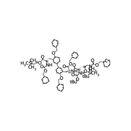 CC(C)(C)OC(=O)N[C@@H](C[C@H](CNC(=O)OCc1ccccc1)O[Si](C)(C)C(C)(C)C)C(=O)N[C@@H](Cc1cc(-c2ccc(OCc3ccccc3)c(C[C@H](NC(=O)OCc3ccccc3)C(=O)OCC[Si](C)(C)C)c2)ccc1OCc1ccccc1)C(=O)OCc1ccccc1